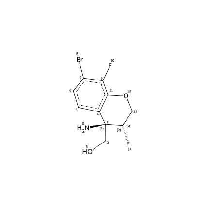 N[C@@]1(CO)c2ccc(Br)c(F)c2OC[C@@H]1F